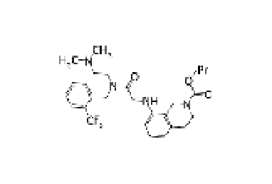 CC(C)OC(=O)N1CCc2cccc(NCC(=O)N(CCN(C)C)Cc3ccccc3C(F)(F)F)c2C1